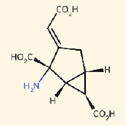 N[C@]1(C(=O)O)C(=CC(=O)O)C[C@@H]2[C@@H](C(=O)O)[C@@H]21